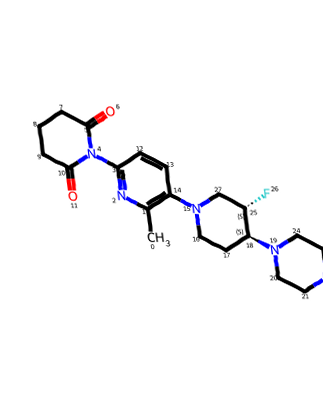 Cc1nc(N2C(=O)CCCC2=O)ccc1N1CC[C@H](N2CCNCC2)[C@@H](F)C1